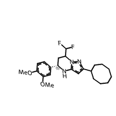 COc1ccc([C@@H]2CC(C(F)F)n3nc(C4CCCCCCC4)cc3N2)cc1OC